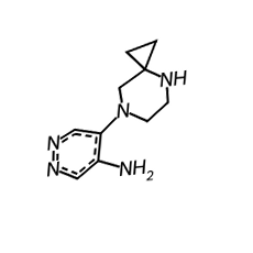 Nc1cnncc1N1CCNC2(CC2)C1